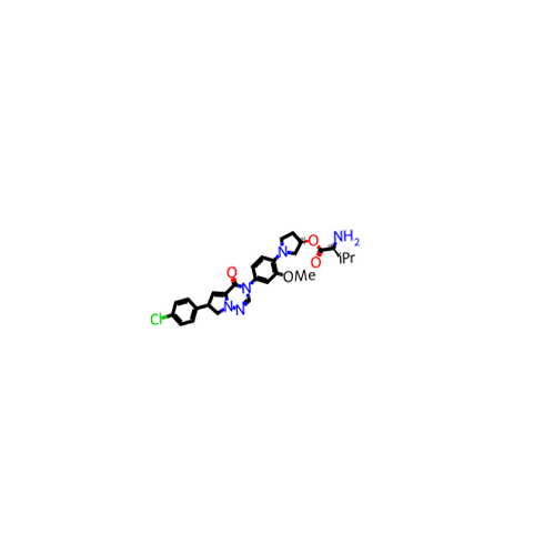 COc1cc(N2C=NN3CC(c4ccc(Cl)cc4)C=C3C2=O)ccc1N1CC[C@@H](OC(=O)[C@@H](N)C(C)C)C1